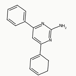 Nc1nc(C2=CC=CCC2)cc(-c2ccccc2)n1